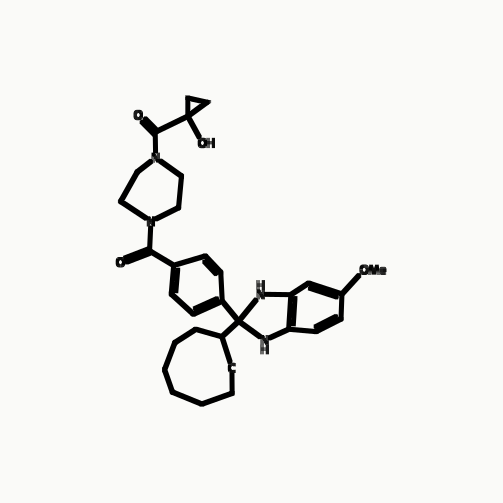 COc1ccc2c(c1)NC(c1ccc(C(=O)N3CCN(C(=O)C4(O)CC4)CC3)cc1)(C1CCCCCCC1)N2